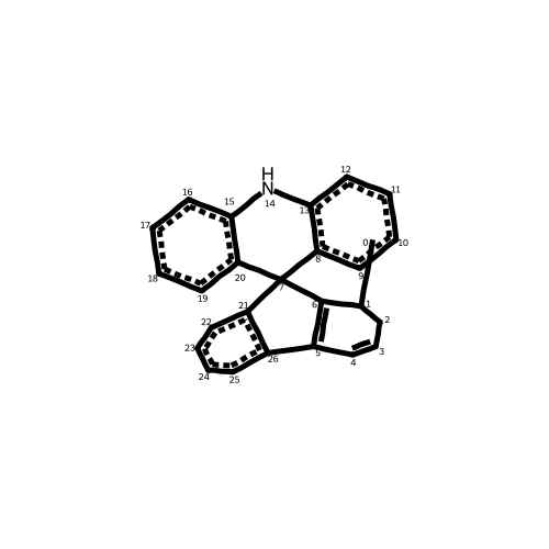 CC1CC=CC2=C1C1(c3ccccc3Nc3ccccc31)c1ccccc12